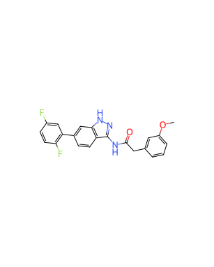 COc1cccc(CC(=O)Nc2n[nH]c3cc(-c4cc(F)ccc4F)ccc23)c1